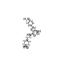 CCNc1cc(-c2ccc(N)cc2)sc1C(=O)NCCN1CCS(=O)(=O)CC1